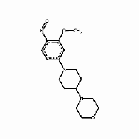 COc1cc(N2CCC(N3CCOCC3)CC2)ccc1N=O